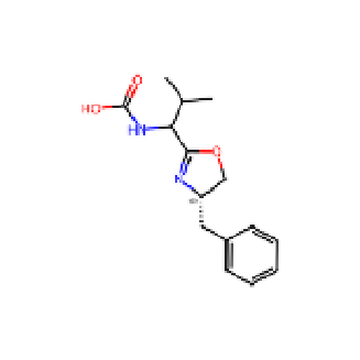 CC(C)C(NC(=O)O)C1=N[C@@H](Cc2ccccc2)CO1